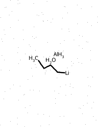 O.[AlH3].[Li][CH2]CCC